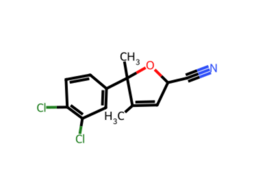 CC1=CC(C#N)OC1(C)c1ccc(Cl)c(Cl)c1